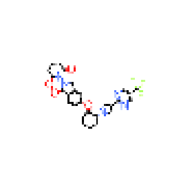 O=C1c2ccc(O[C@@H]3CCCC[C@@H]3N3CC(c4ncc(C(F)(F)F)cn4)C3)cc2CN1N1C(=O)CCCC1=O